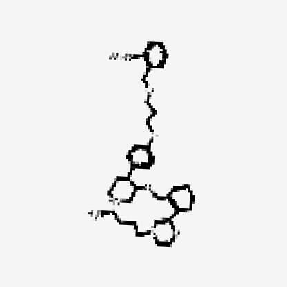 COc1ccccc1COCCCOc1ccc(C2CCNCC2OCC2=C(C3=CN(CCCCN)C=CO3)CCC=C2)cc1